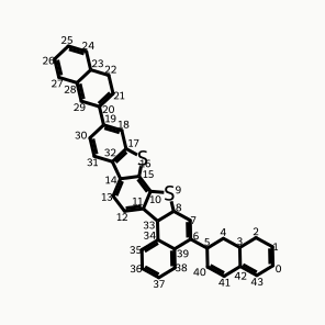 C1=CCC2CC(C3=CC4Sc5c(ccc6c5sc5cc(C7=CCC8C=CC=CC8=C7)ccc56)C4c4ccccc43)C=CC2=C1